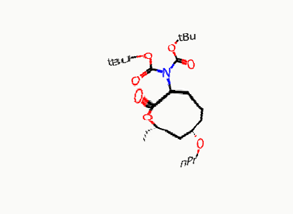 CCCO[C@H]1CCC[C@H](N(C(=O)OC(C)(C)C)C(=O)OC(C)(C)C)C(=O)O[C@@H](C)C1